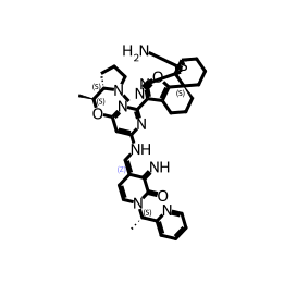 C[C@H](Oc1cc(N/C=C2/C=CN([C@@H](C)c3ccccn3)C(=O)C2=N)nc(-c2noc3c2CCC[C@@]32CCCc3sc(N)c(C#N)c32)n1)[C@@H]1CCCN1C